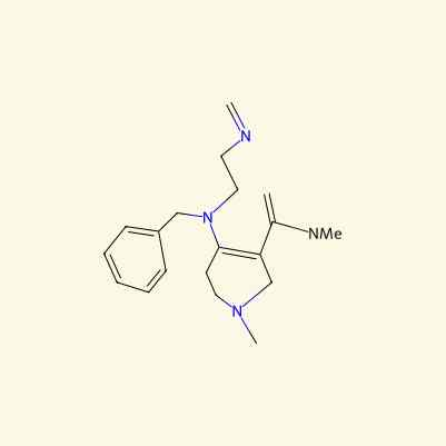 C=NCCN(Cc1ccccc1)C1=C(C(=C)NC)CN(C)CC1